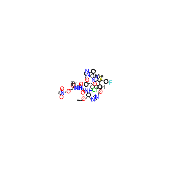 C#CCOCc1cc(NC(=O)CNC(=O)C(NC(=O)CCOCCN2C(=O)C=CC2=O)C(C)C)ccc1C[N+]1(C)CCN(CCOc2ccc(-c3c(-c4ccc(F)cc4)sc4ncnc(OC(Cc5ccccc5OCc5ccnc(-c6ccccc6OC)n5)C(=O)O)c34)c(C)c2Cl)CC1